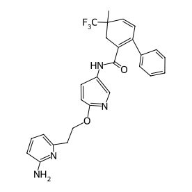 CC1(C(F)(F)F)C=CC(c2ccccc2)=C(C(=O)Nc2ccc(OCCc3cccc(N)n3)nc2)C1